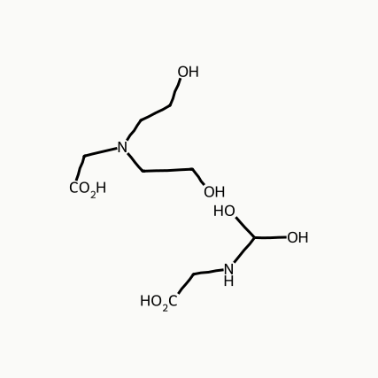 O=C(O)CN(CCO)CCO.O=C(O)CNC(O)O